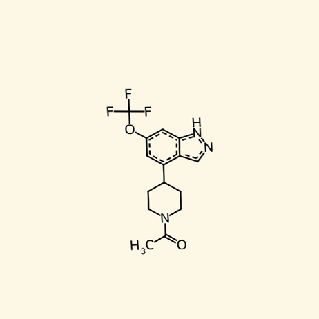 CC(=O)N1CCC(c2cc(OC(F)(F)F)cc3[nH]ncc23)CC1